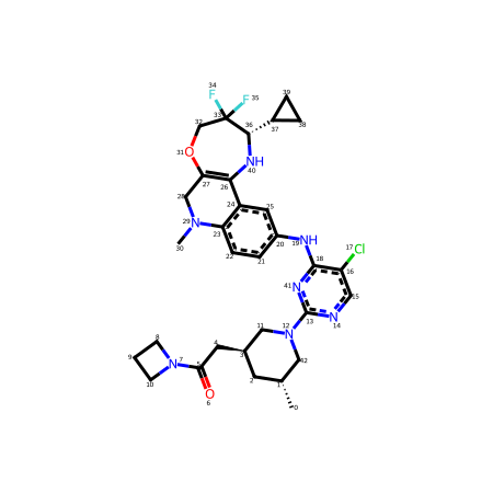 C[C@@H]1C[C@@H](CC(=O)N2CCC2)CN(c2ncc(Cl)c(Nc3ccc4c(c3)C3=C(CN4C)OCC(F)(F)[C@H](C4CC4)N3)n2)C1